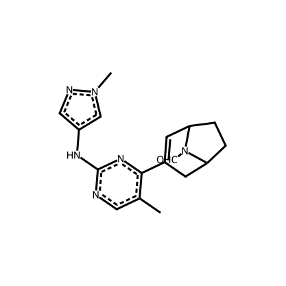 Cc1cnc(Nc2cnn(C)c2)nc1C1=CC2CCC(C1)N2C=O